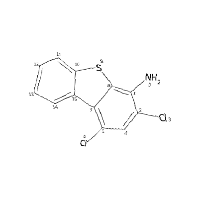 Nc1c(Cl)cc(Cl)c2c1sc1ccccc12